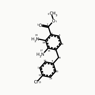 COC(=O)c1ccc(Cc2ccc(Cl)cc2)c(N)c1N